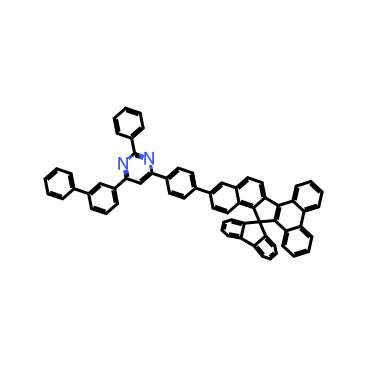 c1ccc(-c2cccc(-c3cc(-c4ccc(-c5ccc6c7c(ccc6c5)-c5c(c6ccccc6c6ccccc56)C75c6ccccc6-c6ccccc65)cc4)nc(-c4ccccc4)n3)c2)cc1